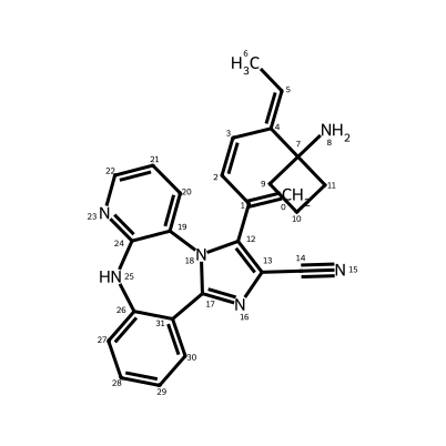 C=C(/C=C\C(=C/C)C1(N)CCC1)c1c(C#N)nc2n1-c1cccnc1Nc1ccccc1-2